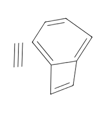 C#C.C1=Cc2ccccc21